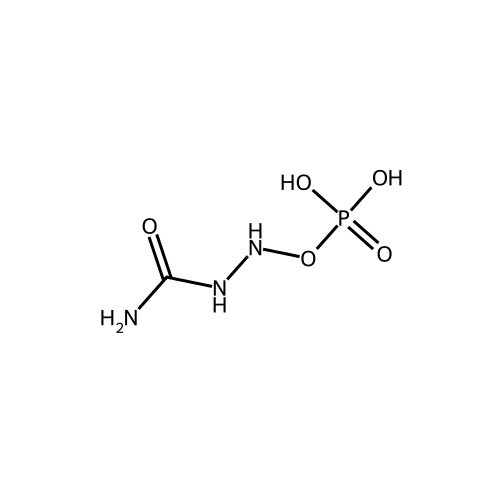 NC(=O)NNOP(=O)(O)O